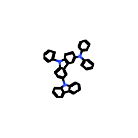 c1ccc(N(c2ccccc2)c2ccc3c(c2)c2cc(-n4c5ccccc5c5ccccc54)ccc2n3-c2ccccc2)cc1